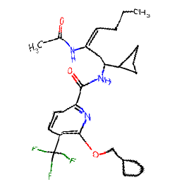 CCC/C=C(/NC(C)=O)C(NC(=O)c1ccc(C(F)(F)F)c(OCC2CC2)n1)C1CC1